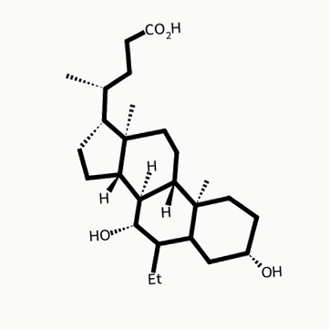 CCC1C2C[C@@H](O)CC[C@]2(C)[C@H]2CC[C@]3(C)[C@@H]([C@H](C)CCC(=O)O)CC[C@H]3[C@@H]2[C@H]1O